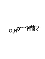 CCCCCCCN(CCCCCC)CCCCCc1ccc([N+](=O)[O-])cc1